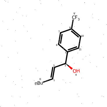 CCCCC=C[C@H](O)c1ccc(C(F)(F)F)cc1